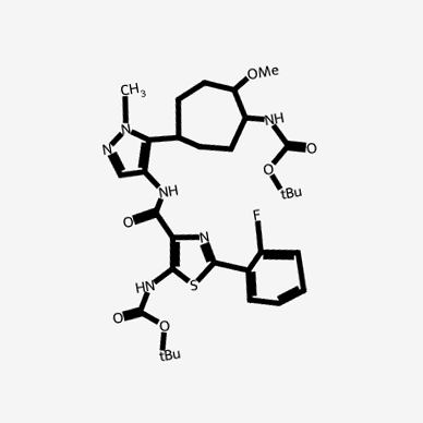 COC1CCC(c2c(NC(=O)c3nc(-c4ccccc4F)sc3NC(=O)OC(C)(C)C)cnn2C)CCC1NC(=O)OC(C)(C)C